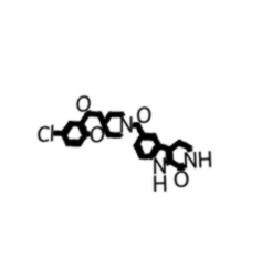 O=C1CC2(CCN(C(=O)c3ccc4[nH]c5c(c4c3)CCNC5=O)CC2)Oc2ccc(Cl)cc21